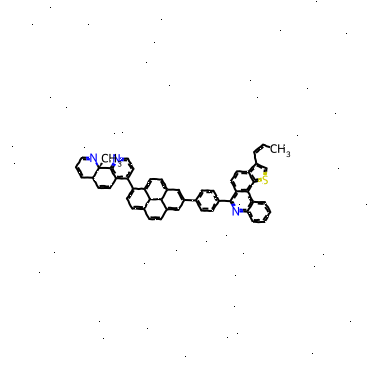 C/C=C\c1csc2c1ccc1c(-c3ccc(C4=CC5=CC=C6C(c7ccnc8c7C=CC7C=CC=N[C@]87C)=CC=C7C=CC(=C4)C5C76)cc3)nc3ccccc3c12